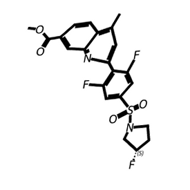 COC(=O)c1ccc2c(C)cc(-c3c(F)cc(S(=O)(=O)N4CC[C@H](F)C4)cc3F)nc2c1